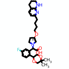 CC1(C)COC(c2ccc(F)cc2C(C(=O)O)N2CC[C@@H](OCCCCc3ccc4c(n3)NCCC4)C2)CO1